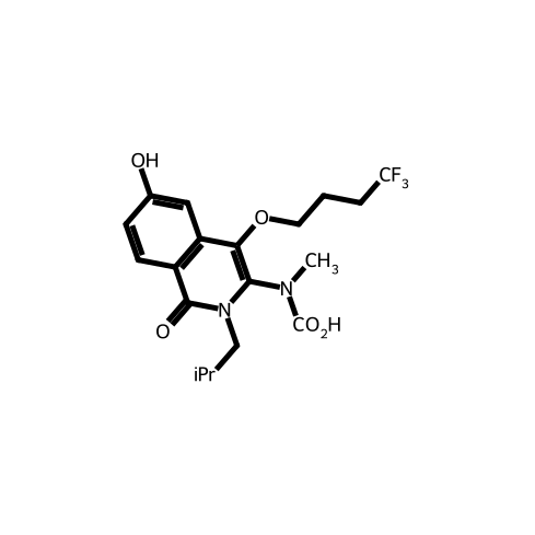 CC(C)Cn1c(N(C)C(=O)O)c(OCCCC(F)(F)F)c2cc(O)ccc2c1=O